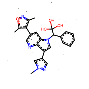 Cc1noc(C)c1-c1cnc2c(-c3cnn(C)c3)cn(C(c3ccccc3)C(O)(O)O)c2c1